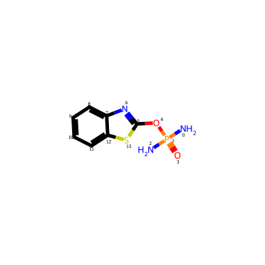 NP(N)(=O)Oc1nc2ccccc2s1